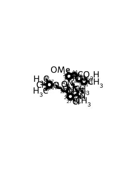 COc1ccc(N2C[C@@H](C)n3c(c(CCCOc4cc(C)c(Cl)c(C)c4)c4ccc(Cl)c(-c5c(C)ncnc5C)c43)C2=O)c2c1cc(C(=O)O)n2Cc1ccc(C)cn1